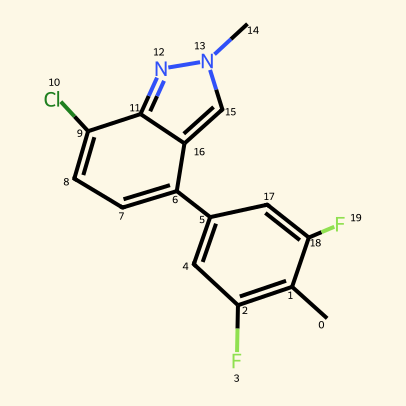 Cc1c(F)cc(-c2ccc(Cl)c3nn(C)cc23)cc1F